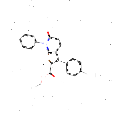 CCOC(=O)c1sc2c(ccc(=O)n2-c2ccccc2)c1-c1ccc(C)cc1